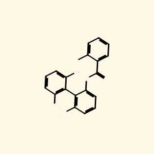 Cc1cccc(O)c1-c1c(C)cccc1OC(=O)c1ccccc1Cl